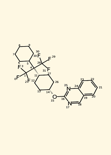 FC(F)(F)C(C1CCCCC1)([C@H]1CC[C@@H](Oc2ncc3ccccc3n2)CC1)C(F)(F)F